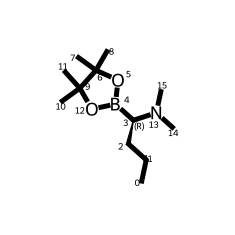 C[CH]C[C@@H](B1OC(C)(C)C(C)(C)O1)N(C)C